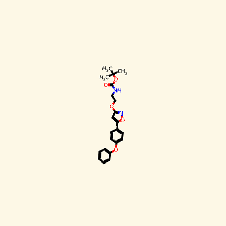 CC(C)(C)OC(=O)NCCOc1cc(-c2ccc(Oc3ccccc3)cc2)on1